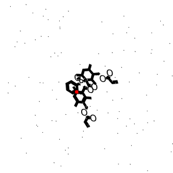 C=CC(=O)OCc1c(C)cc(C)c(C(=O)P(=O)(c2ccccc2)C2(C=O)C(C)CC(C)C(COC(=O)C=C)C2C)c1C